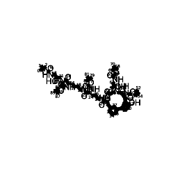 CC(C)(C)OC(=O)NCC(O)CNC(=O)[C@H](CCCCNC(=O)[C@H](CCCNC(=O)[C@@H]1Cc2cccc(c2)-c2ccc(O)c(c2)C[C@H](NC(=O)OC(C)(C)C)C(=O)N[C@@H](C[C@@H](O)CNC(=O)OC(C)(C)C)C(=O)N1)NC(=O)OC(C)(C)C)NC(=O)OC(C)(C)C